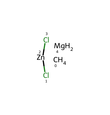 C.[Cl][Zn][Cl].[MgH2]